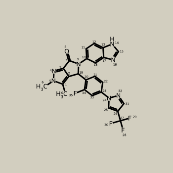 Cc1c2c(nn1C)C(=O)N(c1ccc3[nH]cnc3c1)C2c1ccc(-n2cc(C(F)(F)F)cn2)cc1F